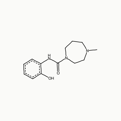 CN1CCCN(C(=O)Nc2ccccc2O)CC1